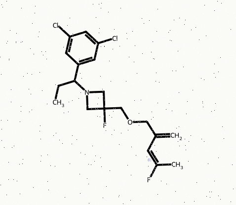 C=C(/C=C(\C)F)COCC1(F)CN(C(CC)c2cc(Cl)cc(Cl)c2)C1